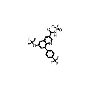 CS(=O)(=O)NC(=O)c1cnc2c(-c3ccc(C(F)(F)F)cc3)cc(OC(F)(F)F)cc2c1